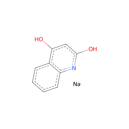 Oc1cc(O)c2ccccc2n1.[Na]